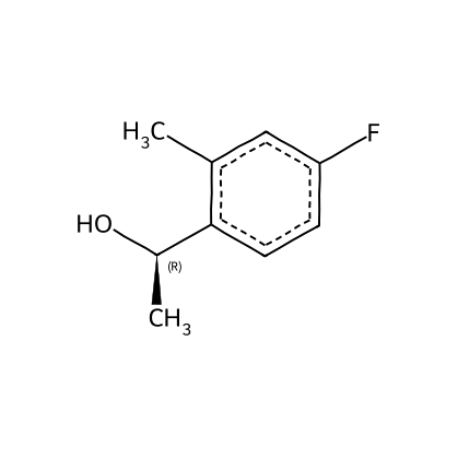 Cc1cc(F)ccc1[C@@H](C)O